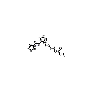 CC(=O)OCCOCn1nccc1/C=C/c1cccs1